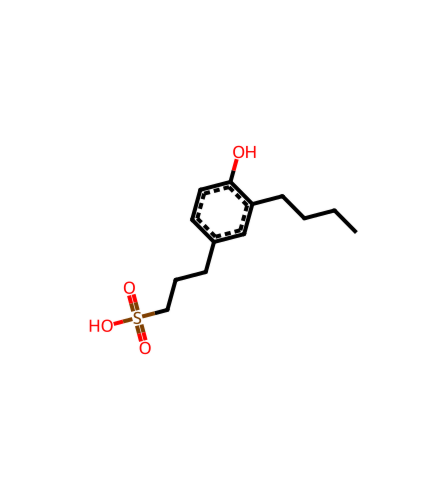 CCCCc1cc(CCCS(=O)(=O)O)ccc1O